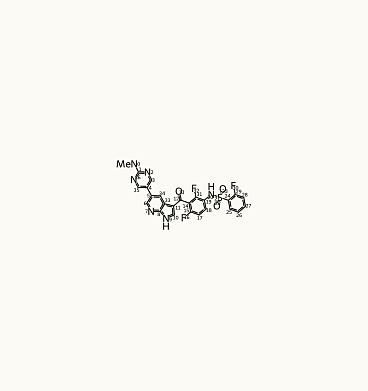 CNc1ncc(-c2cnc3[nH]cc(C(=O)c4c(F)ccc(NS(=O)(=O)c5ccccc5F)c4F)c3c2)cn1